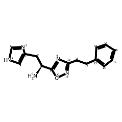 N[C@@H](Cc1c[nH]cn1)c1nc(CCc2ccccc2)no1